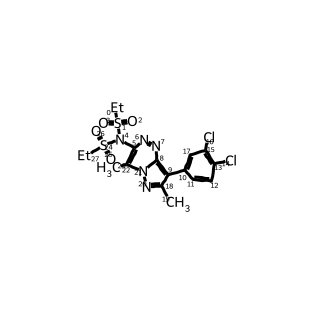 CCS(=O)(=O)N(c1nnc2c(-c3ccc(Cl)c(Cl)c3)c(C)nn2c1C)S(=O)(=O)CC